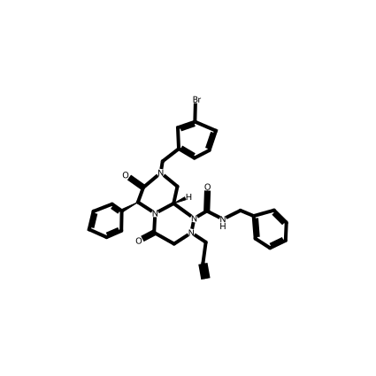 C#CCN1CC(=O)N2[C@@H](c3ccccc3)C(=O)N(Cc3cccc(Br)c3)C[C@@H]2N1C(=O)NCc1ccccc1